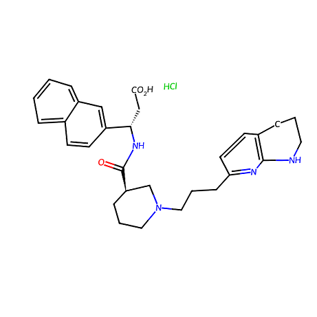 Cl.O=C(O)C[C@H](NC(=O)[C@@H]1CCCN(CCCc2ccc3c(n2)NCCC3)C1)c1ccc2ccccc2c1